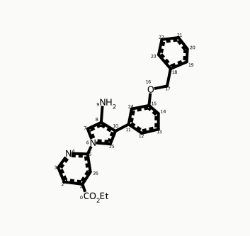 CCOC(=O)c1ccnc(-n2cc(N)c(-c3cccc(OCc4ccccc4)c3)c2)c1